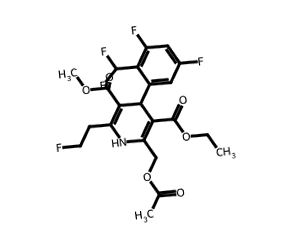 CCOC(=O)C1=C(COC(C)=O)NC(CCF)=C(C(=O)OC)C1c1cc(F)cc(F)c1C(F)F